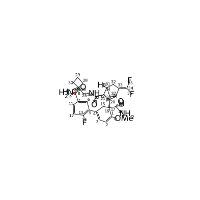 COC1=CC=C(c2cc(C(N)=O)ccc2F)CC1(C(N)=O)[C@H]1[C@@H](C(=O)NCC2(C)CCC2)[C@@H]2CC(=C(F)F)[C@@H]1C2